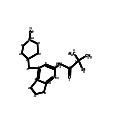 CCC(C)(C)C(=O)Nc1cc(CC2CCN(C(C)=O)CC2)c2c(n1)CCC2